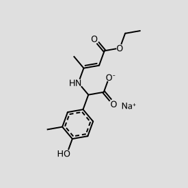 CCOC(=O)C=C(C)NC(C(=O)[O-])c1ccc(O)c(C)c1.[Na+]